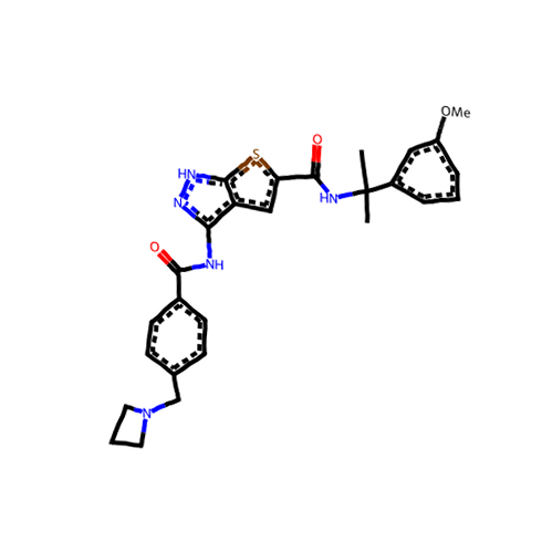 COc1cccc(C(C)(C)NC(=O)c2cc3c(NC(=O)c4ccc(CN5CCC5)cc4)n[nH]c3s2)c1